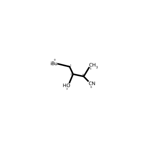 CCC(C)CC(O)C(C)C#N